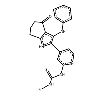 CCCNC(=S)Nc1cc(-c2[nH]c3c(c2Nc2ccccc2)C(=O)CCC3)ccn1